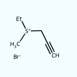 C#CC[S+](C)CC.[Br-]